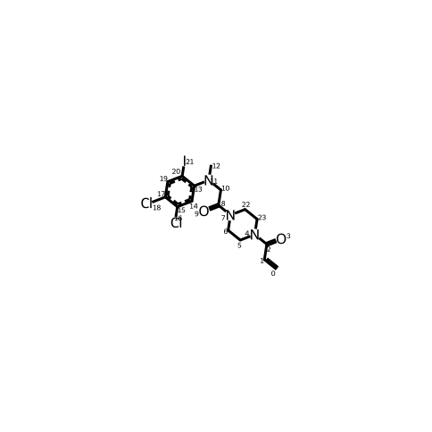 C=CC(=O)N1CCN(C(=O)CN(C)c2cc(Cl)c(Cl)cc2I)CC1